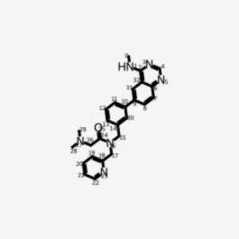 CNc1ncnc2ccc(-c3cccc(CN(Cc4ccccn4)C(=O)CN(C)C)c3)cc12